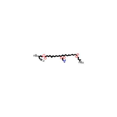 C=C=C=CC(CCCC)CCOC(=O)CCCCCCCCCC(CCCCCCCCCC(=O)OCCC(C)CCCC)OC(=O)CN(C)C